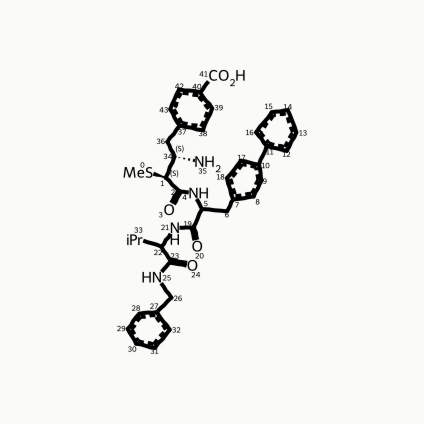 CS[C@H](C(=O)NC(Cc1ccc(-c2ccccc2)cc1)C(=O)NC(C(=O)NCc1ccccc1)C(C)C)[C@@H](N)Cc1ccc(C(=O)O)cc1